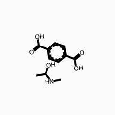 CNC(C)O.O=C(O)c1ccc(C(=O)O)cc1